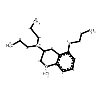 CCCSc1cccc2c1CC(N(CCC)CCC)CO2.Cl